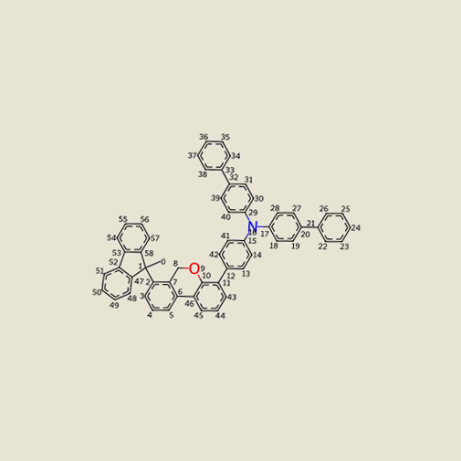 CC1(c2cccc3c2COc2c(-c4ccc(N(c5ccc(-c6ccccc6)cc5)c5ccc(-c6ccccc6)cc5)cc4)cccc2-3)c2ccccc2-c2ccccc21